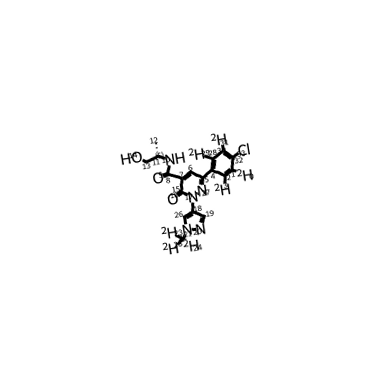 [2H]c1c([2H])c(-c2cc(C(=O)N[C@@H](C)CO)c(=O)n(-c3cnn(C([2H])([2H])[2H])c3)n2)c([2H])c([2H])c1Cl